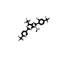 CNn1c(-c2ccc(C(F)(F)F)cc2F)nc2c(C(F)(F)F)nc(-c3ccc(C(F)(F)F)nc3)nc21